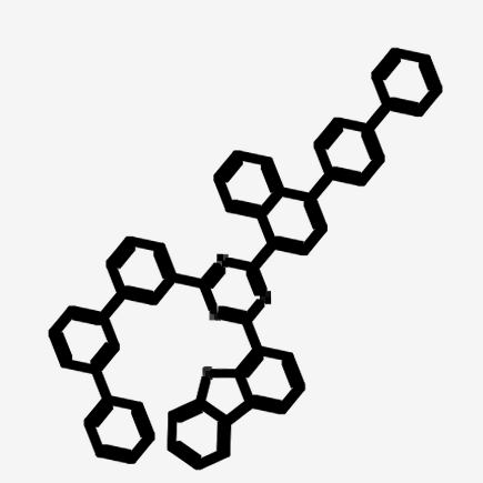 c1ccc(-c2ccc(-c3ccc(-c4nc(-c5cccc(-c6cccc(-c7ccccc7)c6)c5)nc(-c5cccc6c5sc5ccccc56)n4)c4ccccc34)cc2)cc1